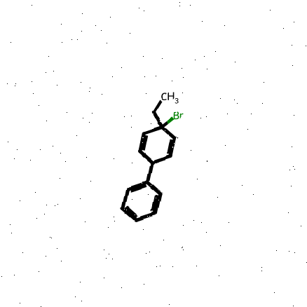 CCC1(Br)[C]=CC(c2ccccc2)C=C1